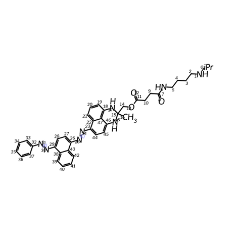 CC(C)NCCCCNC(=O)CCC(=O)OCC1(C)Nc2cccc3c(/N=N/c4ccc(/N=N/c5ccccc5)c5ccccc45)ccc(c23)N1